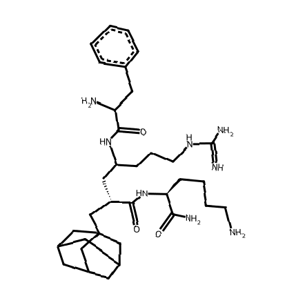 N=C(N)NCCCC(C[C@@H](CC12CC3CC(CC(C3)C1)C2)C(=O)N[C@@H](CCCCN)C(N)=O)NC(=O)C(N)Cc1ccccc1